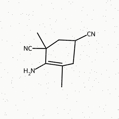 CC1=C(N)C(C)(C#N)CC(C#N)C1